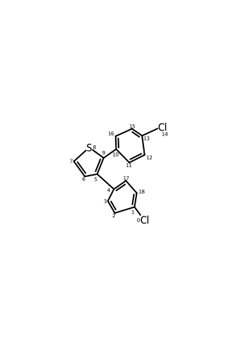 Clc1ccc(-c2ccsc2-c2ccc(Cl)cc2)cc1